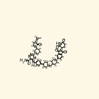 NC(=O)c1nnc(N2CCCC(N3CCN(C4CC4)C3=O)C2)nc1Nc1ccc(C2CCN(CC3CCN(c4ccc5c(c4)C(=O)N(C4CCC(=O)NC4=O)C5=O)CC3)CC2)cc1